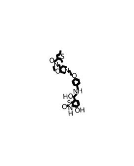 Cc1cc(C(=O)N2CCOC3(CCN(CCOc4ccc(CNC[C@H](O)c5ccc(O)c6[nH]c(=O)sc56)cc4)CC3)C2)c(C)s1